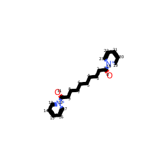 O=C(CCCCCCCCC(=O)[n+]1ccccc1)[n+]1ccccc1